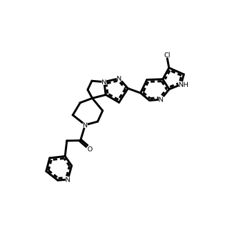 O=C(Cc1cccnc1)N1CCC2(CC1)CCn1nc(-c3cnc4[nH]cc(Cl)c4c3)cc12